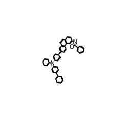 C1=CC(N(c2ccc(-c3ccccc3)cc2)c2ccc(-c3ccc4c(ccc5ccc6nc(-c7ccccc7)oc6c54)c3)cc2)=CCC1